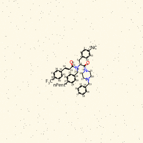 [C-]#[N+]c1ccc(C[C@@H](C(=O)N2CCN(Cc3ccccc3)CC2)N(Cc2ccc(CCCCC)cc2)C(=O)/C=C/c2ccc(C(F)(F)F)cc2)cc1